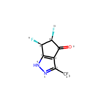 O=C1c2c(C(F)(F)F)n[nH]c2[C@@H](F)[C@H]1F